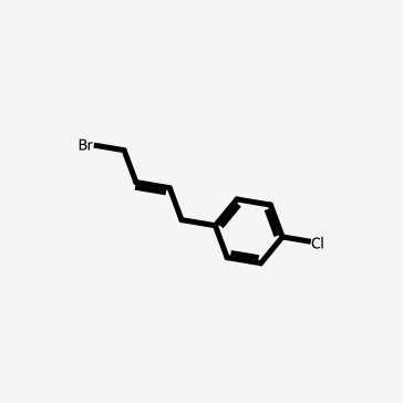 Clc1ccc(CC=CCBr)cc1